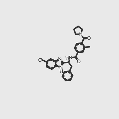 Cc1cc(C(=O)NC(Cc2ccccc2)c2nc3cc(Cl)ccc3[nH]2)ccc1C(=O)N1CCCC1